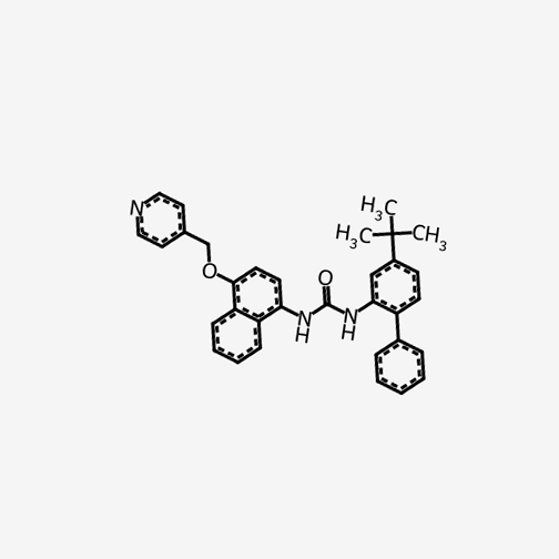 CC(C)(C)c1ccc(-c2ccccc2)c(NC(=O)Nc2ccc(OCc3ccncc3)c3ccccc23)c1